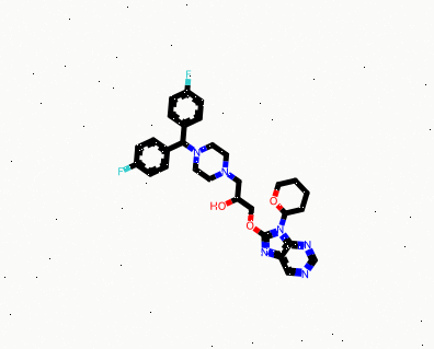 OC(COc1nc2cncnc2n1C1CCCCO1)CN1CCN(C(c2ccc(F)cc2)c2ccc(F)cc2)CC1